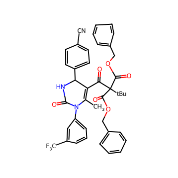 CC1=C(C(=O)C(C(=O)OCc2ccccc2)(C(=O)OCc2ccccc2)C(C)(C)C)C(c2ccc(C#N)cc2)NC(=O)N1c1cccc(C(F)(F)F)c1